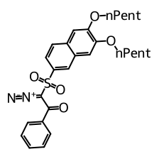 CCCCCOc1cc2ccc(S(=O)(=O)C(=[N+]=[N-])C(=O)c3ccccc3)cc2cc1OCCCCC